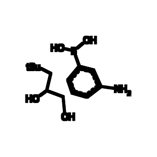 CC(C)(C)CC(O)CO.Nc1cccc(B(O)O)c1